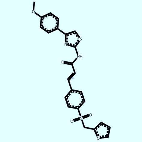 COc1ccc(-c2csc(NC(=O)/C=C/c3ccc(S(=O)(=O)Cc4ccco4)cc3)n2)cc1